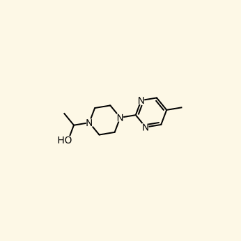 Cc1cnc(N2CCN(C(C)O)CC2)nc1